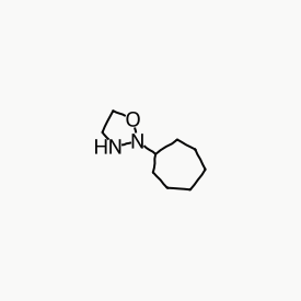 C1CCCC(N2NCCO2)CC1